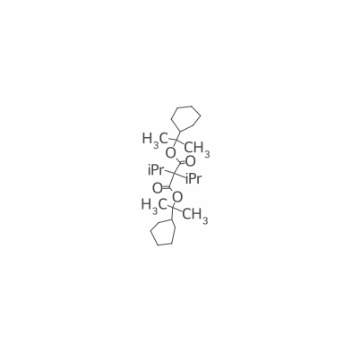 CC(C)C(C(=O)OC(C)(C)C1CCCCC1)(C(=O)OC(C)(C)C1CCCCC1)C(C)C